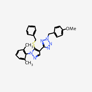 COc1ccc(Cn2nnc(-c3cnn(-c4c(C)cccc4C)c3SCc3ccccc3)n2)cc1